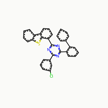 Clc1cccc(-c2nc(-c3ccccc3-c3ccccc3)nc(-c3cccc4c3sc3ccccc34)n2)c1